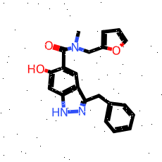 CN(Cc1ccco1)C(=O)c1cc2c(Cc3ccccc3)n[nH]c2cc1O